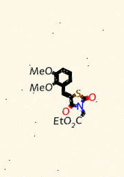 CCOC(=O)CN1C(=O)S/C(=C\c2cccc(OC)c2OC)C1=O